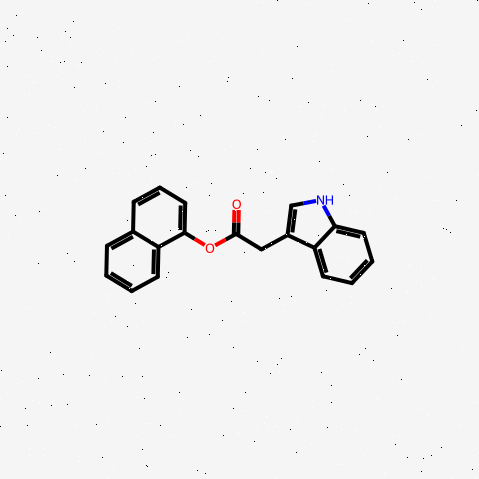 O=C(Cc1c[nH]c2ccccc12)Oc1cccc2ccccc12